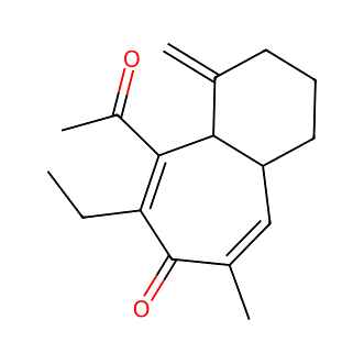 C=C1CCCC2C=C(C)C(=O)C(CC)=C(C(C)=O)C12